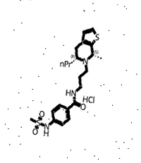 CCC[C@@H]1Cc2ccsc2[C@H](C)N1CCCNC(=O)c1ccc(NS(C)(=O)=O)cc1.Cl